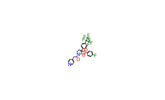 O=C(Cc1ccncc1)N1CC[C@](c2ccc(C(F)(C(F)(F)F)C(F)(F)F)cc2)(S(=O)(=O)c2ccc(F)cc2)C1